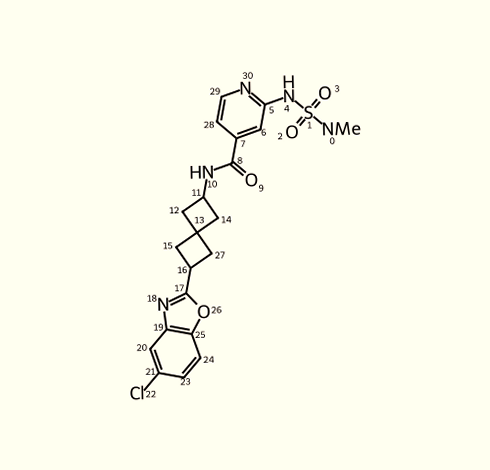 CNS(=O)(=O)Nc1cc(C(=O)NC2CC3(C2)CC(c2nc4cc(Cl)ccc4o2)C3)ccn1